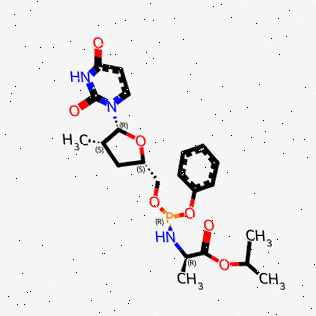 CC(C)OC(=O)[C@@H](C)N[P@@](OC[C@@H]1C[C@H](C)[C@H](n2ccc(=O)[nH]c2=O)O1)Oc1ccccc1